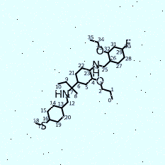 CCCOC1CC(C(C)(CC)NCC2CCC(SC)CC2)CCC1NCC1CCC(F)CC1OCC